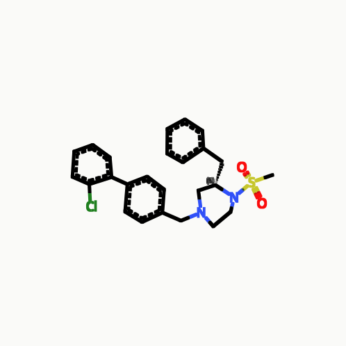 CS(=O)(=O)N1CCN(Cc2ccc(-c3ccccc3Cl)cc2)C[C@@H]1Cc1ccccc1